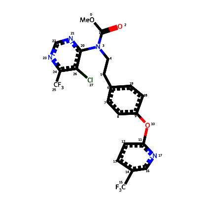 COC(=O)N(CCc1ccc(Oc2ccc(C(F)(F)F)cn2)cc1)c1ncnc(C(F)(F)F)c1Cl